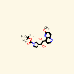 COc1ccc2nccc([C@@H](O)[C@H](O)[C@H]3CCN(C(=O)OC(C)(C)C)C3)c2n1